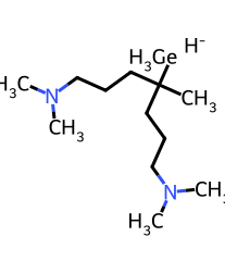 CN(C)CCC[C](C)([GeH3])CCCN(C)C.[H-]